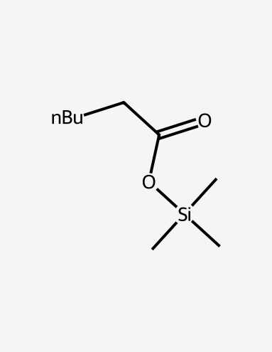 CCCCCC(=O)O[Si](C)(C)C